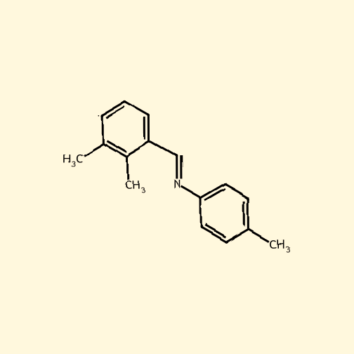 Cc1ccc(N=Cc2cc[c]c(C)c2C)cc1